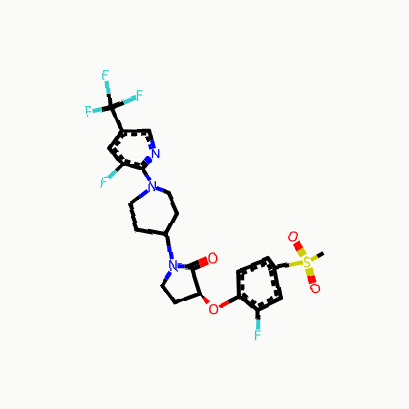 CS(=O)(=O)c1ccc(O[C@H]2CCN(C3CCN(c4ncc(C(F)(F)F)cc4F)CC3)C2=O)c(F)c1